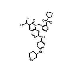 CCC(CC)c1cc2cnc(Nc3ccc(NC4CCCNC4)cc3)nc2n(Cc2cnsc2S(=O)(=O)C2CCCC2)c1=O